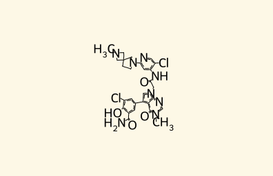 CN1CC2(CCN(c3cc(NC(=O)Cn4cc(-c5cc(Cl)c(O)c(C(N)=O)c5)c5c(=O)n(C)cnc54)c(Cl)cn3)C2)C1